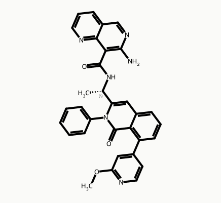 COc1cc(-c2cccc3cc([C@H](C)NC(=O)c4c(N)ncc5cccnc45)n(-c4ccccc4)c(=O)c23)ccn1